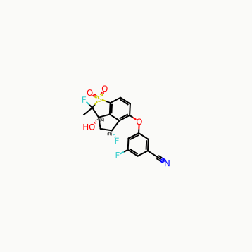 CC1(F)[C@]2(O)C[C@@H](F)c3c(Oc4cc(F)cc(C#N)c4)ccc(c32)S1(=O)=O